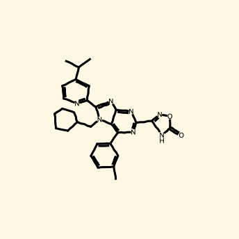 Cc1cccc(-c2nc(-c3noc(=O)[nH]3)nc3nc(-c4cc(C(C)C)ccn4)n(CC4CCCCC4)c23)c1